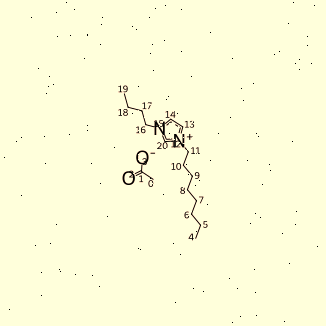 CC(=O)[O-].CCCCCCCC[n+]1ccn(CCCC)c1